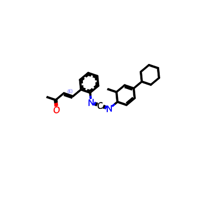 CC(=O)/C=C/c1ccccc1N=C=NC1C=CC(C2CCCCC2)=CC1C